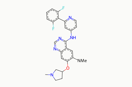 CNc1cc2c(Nc3ccnc(-c4c(F)cccc4F)c3)ncnc2cc1OC1CCN(C)C1